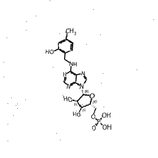 Cc1ccc(CNc2ncnc3c2ncn3[C@@H]2O[C@H](COP(=O)(O)O)[C@@H](O)[C@H]2O)c(O)c1